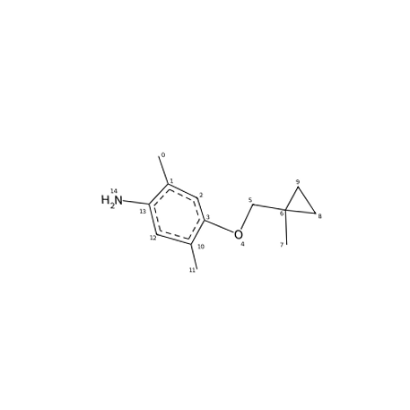 Cc1cc(OCC2(C)CC2)c(C)cc1N